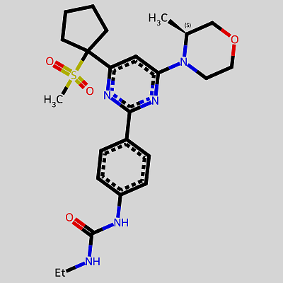 CCNC(=O)Nc1ccc(-c2nc(N3CCOC[C@@H]3C)cc(C3(S(C)(=O)=O)CCCC3)n2)cc1